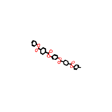 Cc1ccc(OC(=O)C2CCC(C(=O)Oc3ccc(OC(=O)C4CCC(C(=O)Oc5ccccc5)CC4)cc3)CC2)cc1